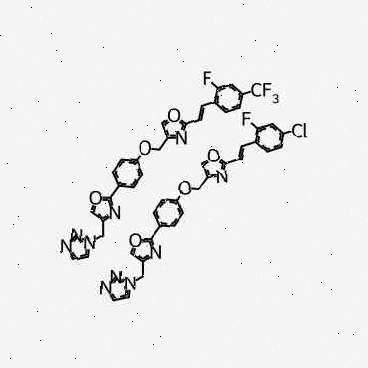 Fc1cc(C(F)(F)F)ccc1/C=C/c1nc(COc2ccc(-c3nc(Cn4ccnn4)co3)cc2)co1.Fc1cc(Cl)ccc1/C=C/c1nc(COc2ccc(-c3nc(Cn4ccnn4)co3)cc2)co1